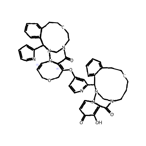 O=C1/C2=C(\Oc3ccnc(C4c5ccccc5CCCCCCN5CN4n4ccc(=O)c(O)c4C5=O)c3)COC/C=C\N2N2CN1CCCCCc1ccccc1C2c1ccccn1